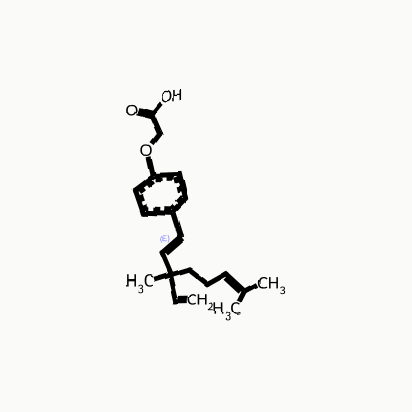 C=CC(C)(/C=C/c1ccc(OCC(=O)O)cc1)CCC=C(C)C